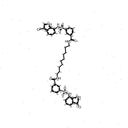 O=C(NCCCCCCCCCCNC(=O)c1cccc(S(=O)(=O)Nc2cccc3c(Cl)c[nH]c23)c1)c1cccc(S(=O)(=O)Nc2cccc3c(Cl)c[nH]c23)c1